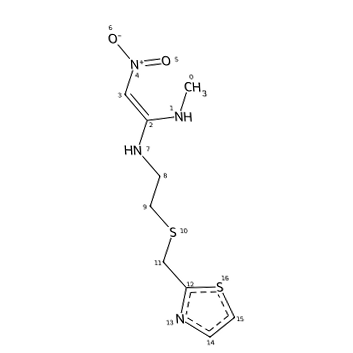 CNC(=C[N+](=O)[O-])NCCSCc1nccs1